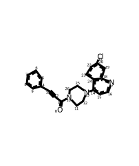 O=C(C#Cc1ccccc1)N1CCN(c2ccnc3cc(Cl)ccc23)CC1